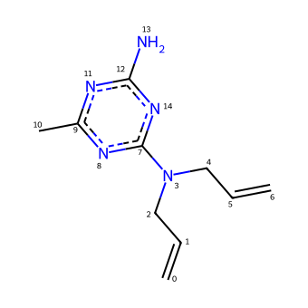 C=CCN(CC=C)c1nc(C)nc(N)n1